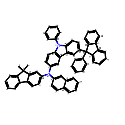 CC1(C)c2ccccc2-c2ccc(N(c3ccc4ccccc4c3)c3ccc4c(c3)c3cc(C5(c6ccccc6)c6ccccc6-c6ccccc65)ccc3n4-c3ccccc3)cc21